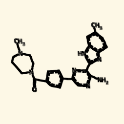 Cc1ccc2nc(-c3nc(-c4ccc(C(=O)N5CCCN(C)CC5)cc4)cnc3N)[nH]c2c1